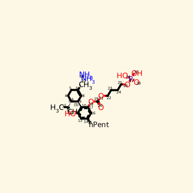 C=C(C)[C@@H]1CCC(C)=C[C@H]1c1c(O)cc(CCCCC)cc1OC(=O)OCCCCOP(=O)(O)O.N.N